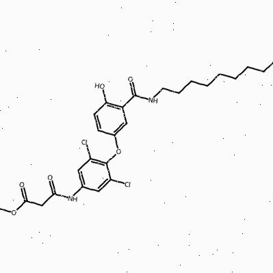 CCCCCCCCCNC(=O)c1cc(Oc2c(Cl)cc(NC(=O)CC(=O)OC)cc2Cl)ccc1O